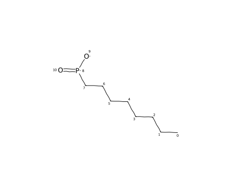 CCCCCCCC[P]([O])=O